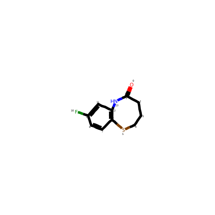 O=C1CCCSc2ccc(F)cc2N1